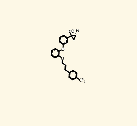 O=C(O)C1(c2cccc(Oc3ccccc3OC/C=C/c3ccc(C(F)(F)F)cc3)c2)CC1